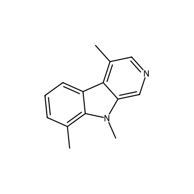 Cc1cncc2c1c1cccc(C)c1n2C